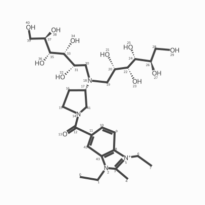 CCn1c(C)[n+](CC)c2ccc(C(=O)N3CC[C@H](N(C[C@H](O)[C@@H](O)[C@H](O)[C@H](O)CO)C[C@H](O)[C@@H](O)[C@H](O)[C@H](O)CO)C3)cc21